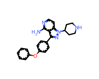 Nc1nccc2c1c(-c1ccc(Oc3ccccc3)cc1)nn2C1CCNCC1